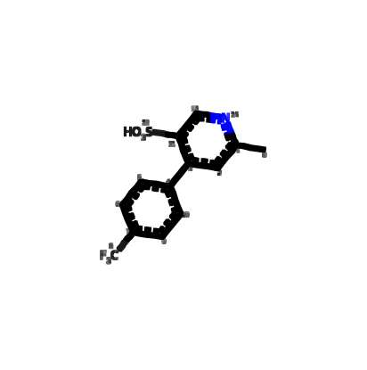 Cc1cc(-c2ccc(C(F)(F)F)cc2)c(S(=O)(=O)O)cn1